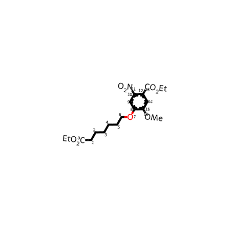 CCOC(=O)CCCCCCOc1cc([N+](=O)[O-])c(C(=O)OCC)cc1OC